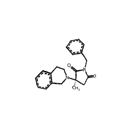 C[C@@]1(N2CCc3ccccc3C2)CC(=O)N(Cc2ccccc2)C1=O